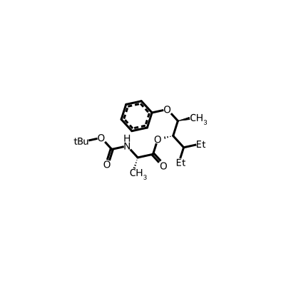 CCC(CC)[C@H](OC(=O)[C@H](C)NC(=O)OC(C)(C)C)[C@H](C)Oc1ccccc1